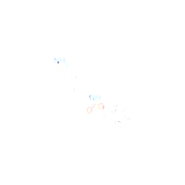 NCCCCCCCNC(=O)OCc1ccccc1